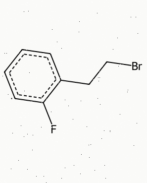 Fc1[c]cccc1CCBr